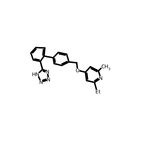 CCc1cc(OCc2ccc(-c3ccccc3-c3nnn[nH]3)cc2)cc(C)n1